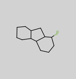 FC1CCCC2C1CC1CCCCC12